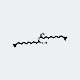 CCCCCCCCC(CCCCCCCCC1CC1)OC(CCCCCCCC)CCCCCCCCC1CC1